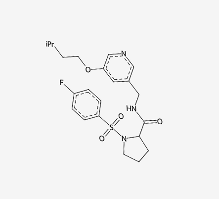 CC(C)CCOc1cncc(CNC(=O)C2CCCN2S(=O)(=O)c2ccc(F)cc2)c1